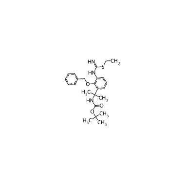 CCSC(=N)Nc1cccc(C(C)(C)NC(=O)OC(C)(C)C)c1OCc1ccccc1